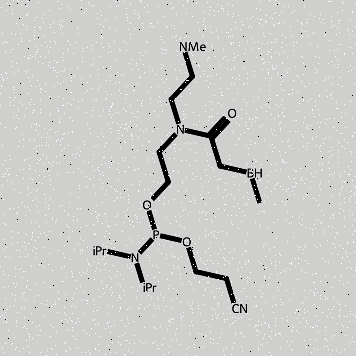 CBCC(=O)N(CCNC)CCOP(OCCC#N)N(C(C)C)C(C)C